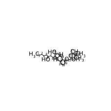 CCCCC[C@@H](O)CCC1[C@H](O)C[C@@H]2Cc3c(cccc3OCC(O)OC(C)C(C)C)C[C@H]12